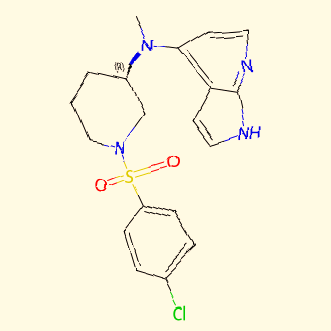 CN(c1ccnc2[nH]ccc12)[C@@H]1CCCN(S(=O)(=O)c2ccc(Cl)cc2)C1